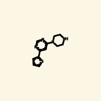 c1csc(-c2cc(N3CCNCC3)ncn2)c1